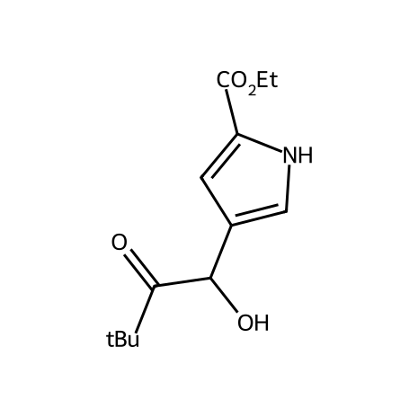 CCOC(=O)c1cc(C(O)C(=O)C(C)(C)C)c[nH]1